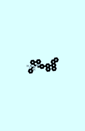 NC(NC(NCc1ccc(-c2ccc(-c3c4ccccc4cc4c3ccc3ccccc34)c3ccccc23)cc1)c1ccccc1-c1ccccc1)c1ccccc1